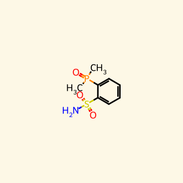 CP(C)(=O)c1ccccc1S(N)(=O)=O